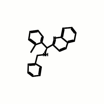 Cc1ccccc1[C@H](NCc1ccccc1)c1ccc2ccccc2n1